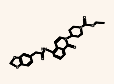 CCOC(=O)N1CCC(n2ccc3c(NC(=O)Cc4ccc5c(c4)OCO5)cccc3c2=O)CC1